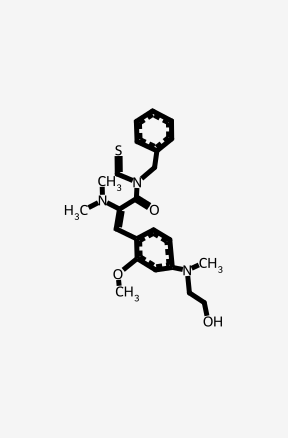 COc1cc(N(C)CCO)ccc1/C=C(\C(=O)N(C=S)Cc1ccccc1)N(C)C